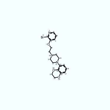 Brc1ncccc1OCCN1CCN(c2cccc3c2OCCO3)CC1